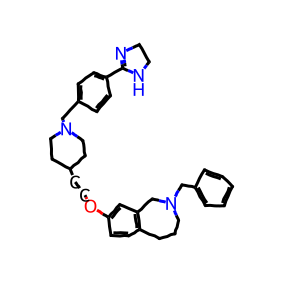 c1ccc(CN2CCCc3ccc(OCCC4CCN(Cc5ccc(C6=NCCN6)cc5)CC4)cc3C2)cc1